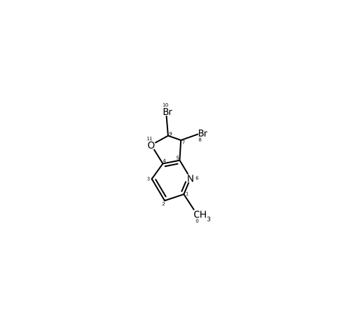 Cc1ccc2c(n1)C(Br)C(Br)O2